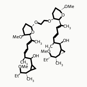 CC[C@H](OC)[C@@H](C)[C@H]1CC1[C@H](O)[C@@H](C)/C=C/C=C(\C)[C@@H]1O[C@@H](OC)CC[C@H]1OCCO[C@H]1CC[C@H](OC)[C@H](/C(C)=C/C=C/[C@H](C)[C@@H](O)C2CC2[C@H](C)[C@H](CC)OC)O1